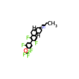 CC/C=C/[C@@H]1CC[C@@H]2c3cc(F)c(-c4cc(F)c(OC(F)(F)F)c(F)c4)c(F)c3CC[C@@H]2C1